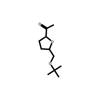 CC(=O)C1CCC(COC(C)(C)C)O1